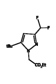 CCOC(=O)Cn1nc(C(F)F)cc1C(C)(C)C